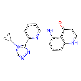 O=c1cc[nH]c2cccc(Nc3cccc(-c4nncn4C4CC4)n3)c12